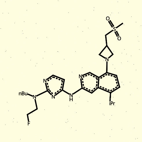 CCCCN(CCF)c1nccc(Nc2cc3c(C(C)C)ccc(N4CC(CS(C)(=O)=O)C4)c3cn2)n1